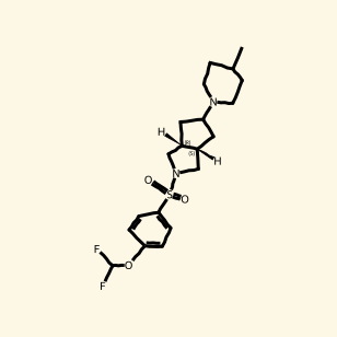 CC1CCN(C2C[C@@H]3CN(S(=O)(=O)c4ccc(OC(F)F)cc4)C[C@@H]3C2)CC1